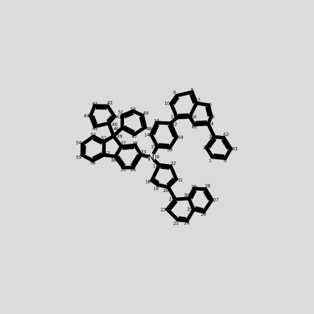 c1ccc(-c2ccc3cccc(-c4ccc(N(c5ccc(-c6cccc7ccccc67)cc5)c5ccc6c(c5)C(c5ccccc5)(c5ccccc5)c5ccccc5-6)cc4)c3c2)cc1